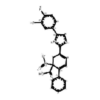 O=C(O)C1([N+](=O)[O-])CC(c2nc(-c3ccc(F)c(F)c3)cs2)=CC=C1c1ccccc1